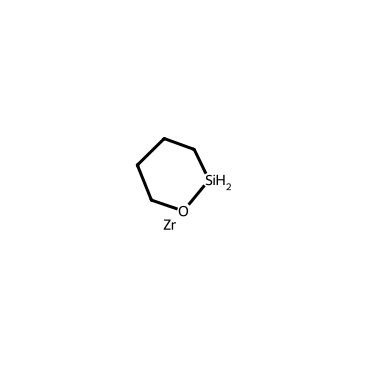 C1CC[SiH2]OC1.[Zr]